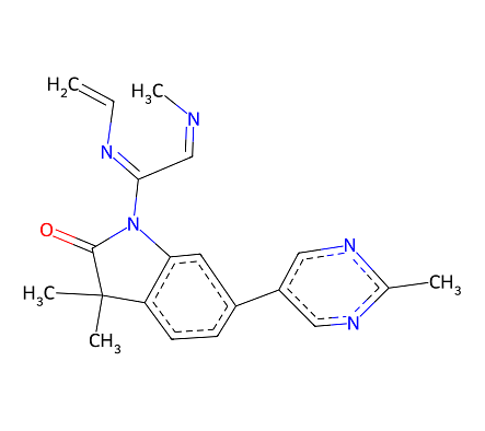 C=C/N=C(\C=N/C)N1C(=O)C(C)(C)c2ccc(-c3cnc(C)nc3)cc21